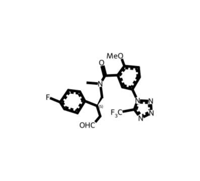 COc1ccc(-n2nnnc2C(F)(F)F)cc1C(=O)N(C)C[C@@H](CC=O)c1ccc(F)cc1